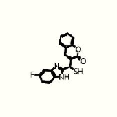 O=c1oc2ccccc2cc1C(S)c1nc2cc(F)ccc2[nH]1